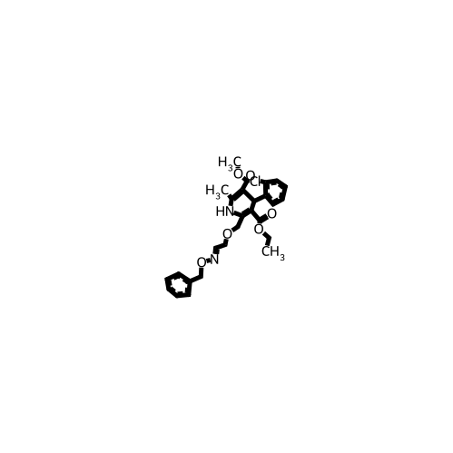 CCOC(=O)C1=C(COCC=NOCc2ccccc2)NC(C)=C(C(=O)OC)C1c1ccccc1Cl